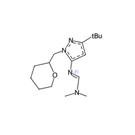 CN(C)/C=N/c1cc(C(C)(C)C)nn1CC1CCCCO1